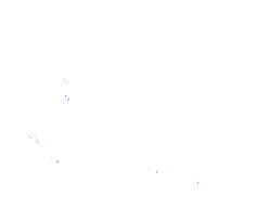 CN1CCN(c2ccc(-c3n[nH]c4cc(=O)n(-c5cccc6c5COC6)nc34)cc2)CC1